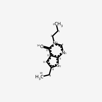 CCCn1cnc2sc(CC)cc2c1=O